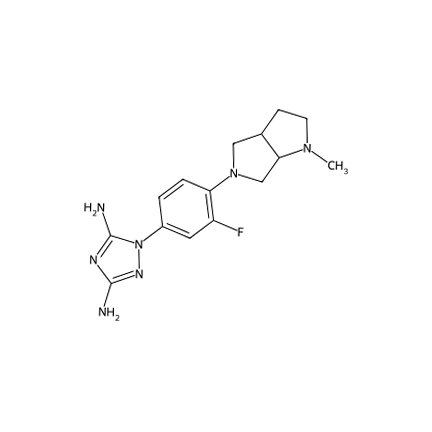 CN1CCC2CN(c3ccc(-n4nc(N)nc4N)cc3F)CC21